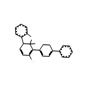 CC12Sc3ccccc3C1C=CC(N)=C2C1=CC=C(c2ccccc2)CC1